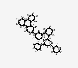 c1ccc(-c2cc(-c3cccnc3)nc(-c3ccccc3-c3cccc(-c4ccc5c6ccccc6c6ccccc6c5c4)c3)n2)cc1